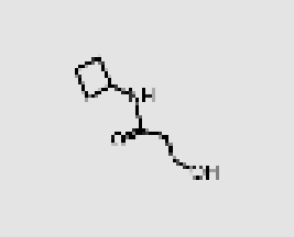 O=C(CCO)NC1CCC1